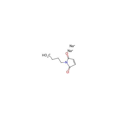 O=C(O)CCCN1C(=O)C=CC1=O.[Na+].[Na+]